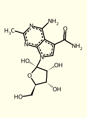 Cc1nc(N)c2c(C(N)=O)cn([C@]3(O)O[C@H](CO)[C@@H](O)[C@H]3O)c2n1